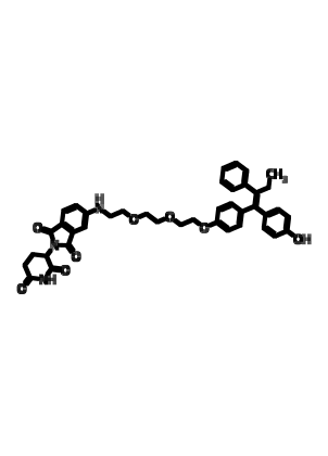 CCC(=C(c1ccc(O)cc1)c1ccc(OCCOCCOCCNc2ccc3c(c2)C(=O)N(C2CCC(=O)NC2=O)C3=O)cc1)c1ccccc1